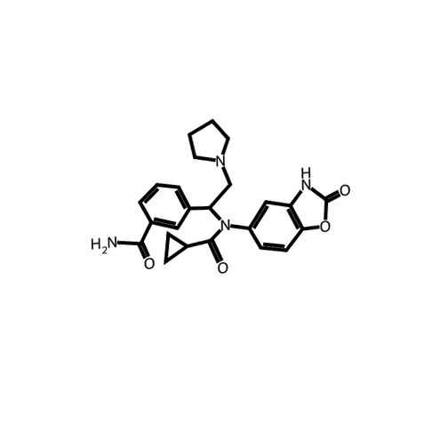 NC(=O)c1cccc(C(CN2CCCC2)N(C(=O)C2CC2)c2ccc3oc(=O)[nH]c3c2)c1